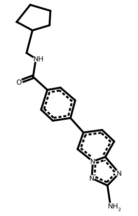 Nc1nc2ccc(-c3ccc(C(=O)NCC4CCCC4)cc3)cn2n1